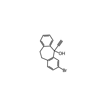 C#CC1(O)c2ccccc2CCc2ccc(Br)cc21